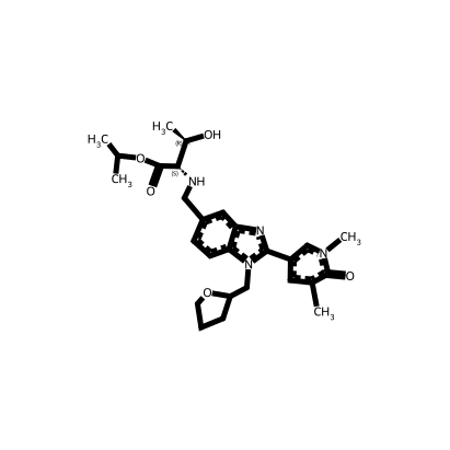 Cc1cc(-c2nc3cc(CN[C@H](C(=O)OC(C)C)[C@@H](C)O)ccc3n2CC2CCCO2)cn(C)c1=O